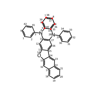 c1ccc(N(c2ccccc2)c2cc3oc4cc5ccccc5cc4c3cc2N(c2ccccc2)c2ccccc2)cc1